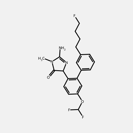 CN1C(=O)C(c2ccc(OC(F)F)cc2-c2cccc(CCCCF)c2)N=C1N